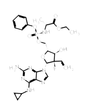 C=C[C@@]1(F)[C@H](O)[C@@H](CO[P@@](=O)(N[C@H](C)C(=O)OCC)Oc2ccccc2)O[C@H]1n1cnc2c(NC3CC3)nc(N)nc21